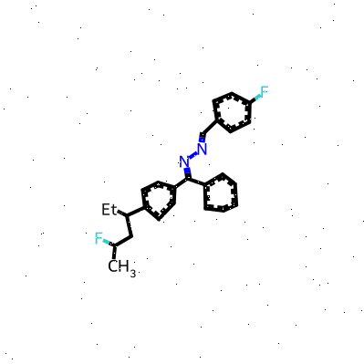 CCC(CC(C)F)c1ccc(C(=NN=Cc2ccc(F)cc2)c2ccccc2)cc1